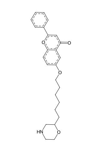 O=c1cc(-c2ccccc2)oc2ccc(OCCCCCCC3CNCCO3)cc12